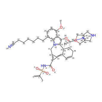 C=C(C)S(=O)(=O)NC(=O)C1=C2Cn3c(cc4c(OC)ccc(CCCCCCC#N)c43)[C@@H]3C(=C21)C=CC[C@H]3C(=O)N1CC23CNCC2(COC3)C1